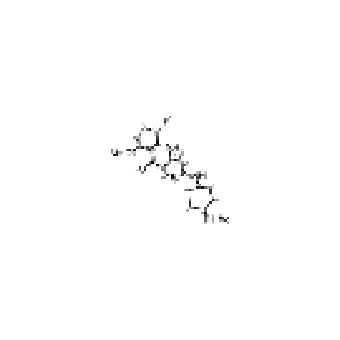 COc1ccc(F)cc1C(=O)c1cnc(NC2CCC(NC(C)=O)CC2)nc1N